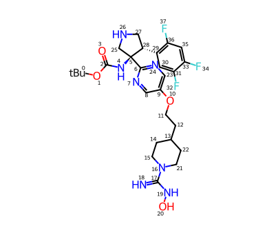 CC(C)(C)OC(=O)N[C@@]1(c2ncc(OCCC3CCN(C(=N)NO)CC3)cn2)CNC[C@@H]1c1cc(F)c(F)cc1F